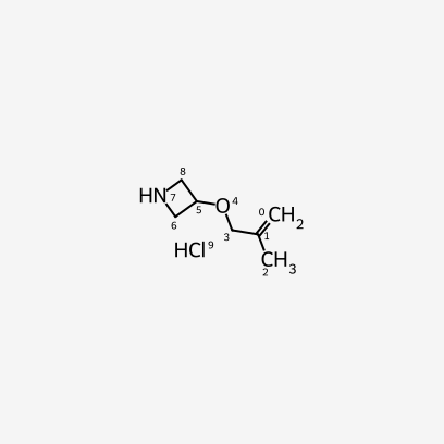 C=C(C)COC1CNC1.Cl